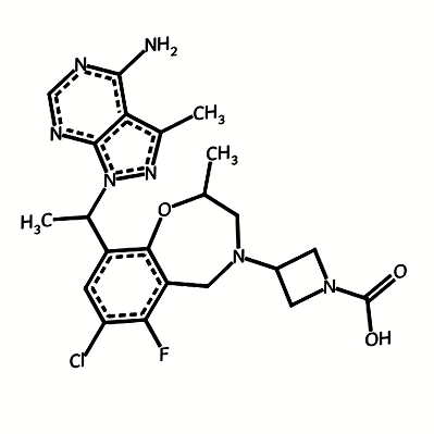 Cc1nn(C(C)c2cc(Cl)c(F)c3c2OC(C)CN(C2CN(C(=O)O)C2)C3)c2ncnc(N)c12